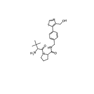 CC(C)(C)C(N)C(=O)N1CCCC1C(=O)NCc1ccc(-c2scnc2CO)cc1